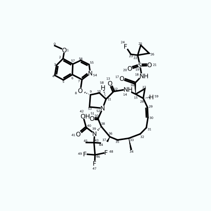 COc1cccc2c(O[C@@H]3C[C@H]4C(=O)N[C@]5(C(=O)NS(=O)(=O)C6(CF)CC6)C[C@H]5C=CCC[C@@H](C)C[C@@H](C)[C@H](N(C(=O)O)C(C)(C)C(F)(F)F)C(=O)N4C3)nccc12